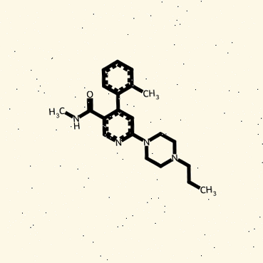 CCCN1CCN(c2cc(-c3ccccc3C)c(C(=O)NC)cn2)CC1